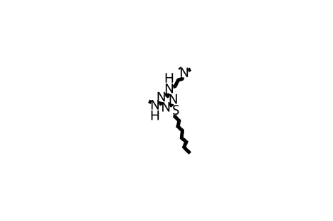 CCCCCCCCSc1nc(NC)nc(NCCCN(C)C)n1